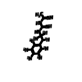 [2H]c1c([2H])c([2H])c(C([2H])C([2H])([2H])NC(=N)NC(C)=N)c([2H])c1[2H]